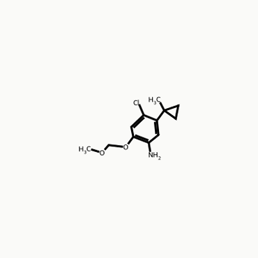 COCOc1cc(Cl)c(C2(C)CC2)cc1N